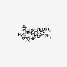 C=CC(=O)N1CCC(NCCn2c(=O)c(-c3c(Cl)c(OC)cc(OC)c3Cl)cc3cnc(NCCC4CCOC4)nc32)C1